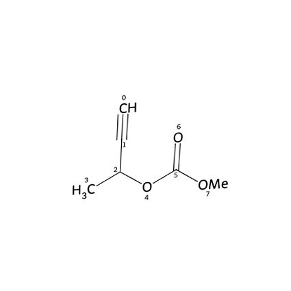 C#CC(C)OC(=O)OC